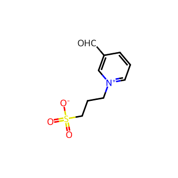 O=Cc1ccc[n+](CCCS(=O)(=O)[O-])c1